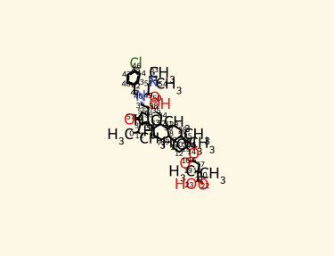 CC(C)C1=C2[C@H]3CC[C@@H]4[C@@]5(C)CC[C@H](OC(=O)CC(C)(C)C(=O)O)C(C)(C)C5CC[C@@]4(C)[C@]3(C)CC[C@@]2([C@H](O)CN(Cc2ccc(Cl)cc2)C(=O)CN(C)C)CC1=O